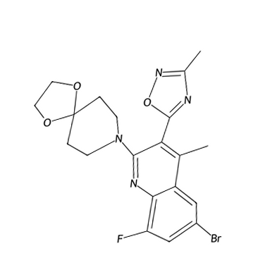 Cc1noc(-c2c(N3CCC4(CC3)OCCO4)nc3c(F)cc(Br)cc3c2C)n1